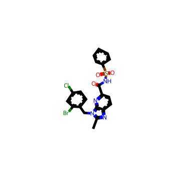 Cc1nc2ccc(C(=O)NS(=O)(=O)c3ccccc3)nc2n1Cc1ccc(Cl)cc1Br